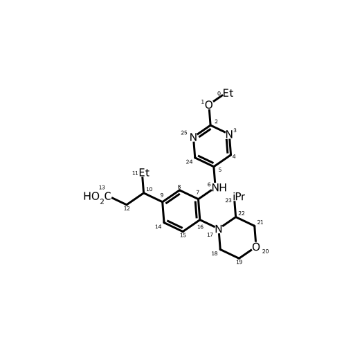 CCOc1ncc(Nc2cc(C(CC)CC(=O)O)ccc2N2CCOCC2C(C)C)cn1